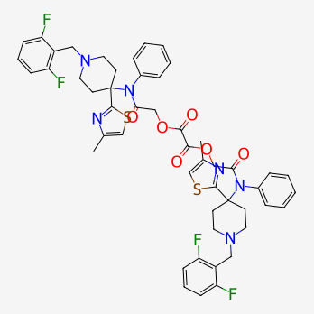 Cc1csc(C2(N(C(=O)COC(=O)C(=O)OCC(=O)N(c3ccccc3)C3(c4nc(C)cs4)CCN(Cc4c(F)cccc4F)CC3)c3ccccc3)CCN(Cc3c(F)cccc3F)CC2)n1